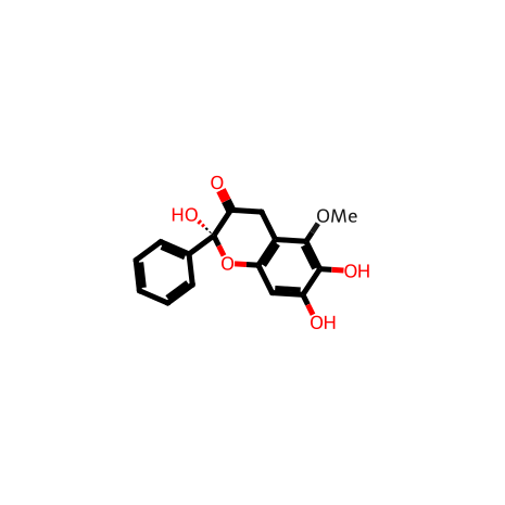 COc1c(O)c(O)cc2c1CC(=O)[C@](O)(c1ccccc1)O2